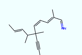 CC#CC(C)(/C=C\C=C(/C)C=N)C(C)C=CC